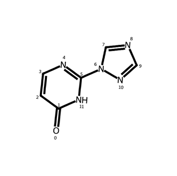 O=c1ccnc(-n2cncn2)[nH]1